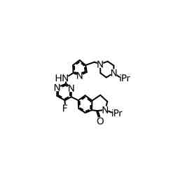 CC(C)N1CCN(Cc2ccc(Nc3ncc(F)c(-c4ccc5c(c4)CCN(C(C)C)C5=O)n3)nc2)CC1